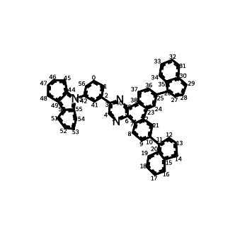 c1cc(-c2cnc3c4ccc(-c5cccc6ccccc56)cc4c4cc(-c5cccc6ccccc56)ccc4c3n2)cc(-n2c3ccccc3c3ccccc32)c1